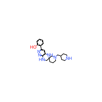 Oc1ccccc1-c1cc2c(nn1)NCC1(CCCN(CC3CCNCC3)C1)N2